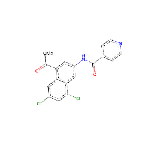 COC(=O)c1cc(NC(=O)c2ccncc2)cc2c(Cl)cc(Cl)cc12